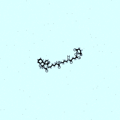 CCC1(c2ccccc2)C(=O)NC(=O)N(CCCCC(=O)NCCCNC(=O)CCC(=O)ON2C(=O)CCC2=O)C1=O